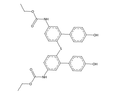 CCOC(=O)Nc1ccc(Sc2ccc(NC(=O)OCC)cc2-c2ccc(O)cc2)c(-c2ccc(O)cc2)c1